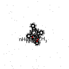 CCCCCCC(C)CO[Si]1(OCC(C)CCCCCC)n2c3c4ccccc4c2/N=C2N=C(/N=c4/c5ccccc5/c(n41)=N/C1=NC(=N\3)/c3ccccc31)c1ccccc1\2